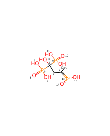 C/C(CC(O)(P(=O)(O)O)P(=O)(O)O)=[P+](/[O-])O